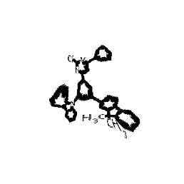 CC1(C)c2ccccc2-c2ccc(-c3cc(-c4cc(-c5ccccc5)nc(Cl)n4)cc(-n4c5ccccc5c5ccccc54)c3)cc21